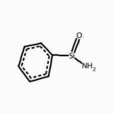 N[Si](=O)c1ccccc1